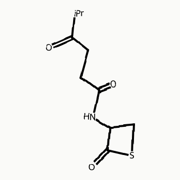 CC(C)C(=O)CCC(=O)NC1CSC1=O